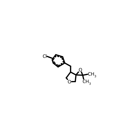 CC1(C)OC12COCC2Cc1ccc(Cl)cc1